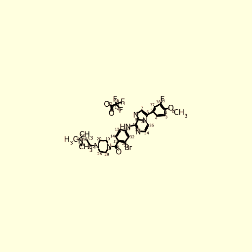 COc1ccc(-c2cnc3c(Nc4ccc(C(=O)N5CCN(CC[N+](C)(C)C)CC5)c(Br)c4)nccn23)cc1F.O=C([O-])C(F)(F)F